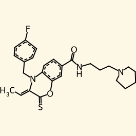 C/C=C1/C(=S)Oc2cc(C(=O)NCCCN3CCCCC3)ccc2N1Cc1ccc(F)cc1